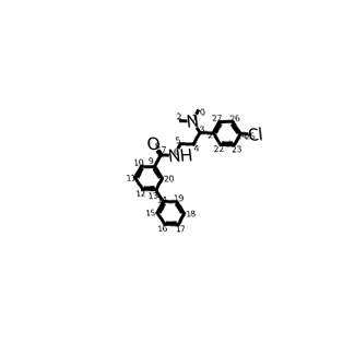 CN(C)C(CCNC(=O)c1cccc(-c2ccccc2)c1)c1ccc(Cl)cc1